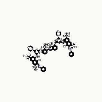 O=S(=O)(O)c1cc(Nc2nc(Nc3cccc(/C=C/c4cccc(Nc5nc(Nc6cc(S(=O)(=O)O)cc7cc(S(=O)(=O)O)c(/N=N/c8ccccc8)c(O)c67)nc(N6CCOCC6)n5)c4S(=O)(=O)O)c3S(=O)(=O)O)nc(N3CCOCC3)n2)c2c(O)c(/N=N/c3ccccc3)c(S(=O)(=O)O)cc2c1